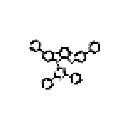 c1ccc(-c2ccc3c(c2)c2ccc4c5cc(-c6ccccn6)ccc5sc4c2n3-c2nc(-c3ccccc3)nc(-c3ccccc3)n2)cc1